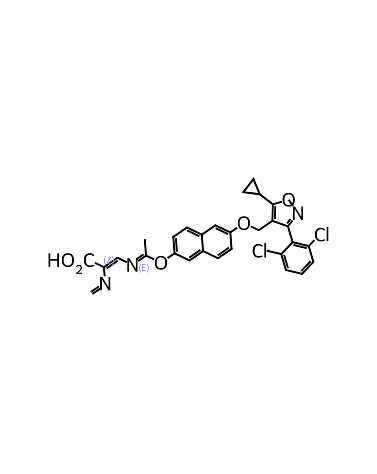 C=N/C(=C\N=C(/C)Oc1ccc2cc(OCc3c(-c4c(Cl)cccc4Cl)noc3C3CC3)ccc2c1)C(=O)O